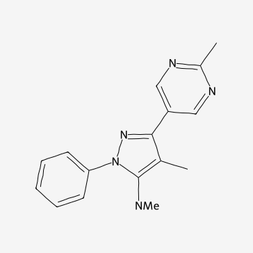 CNc1c(C)c(-c2cnc(C)nc2)nn1-c1ccccc1